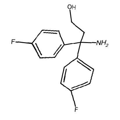 NC(CCO)(c1ccc(F)cc1)c1ccc(F)cc1